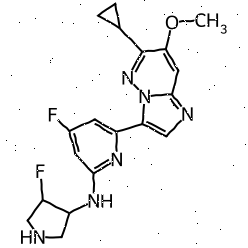 COc1cc2ncc(-c3cc(F)cc(NC4CNCC4F)n3)n2nc1C1CC1